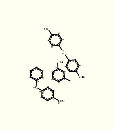 Cc1ccc(C=O)cc1.Cc1cccc(C=O)c1.O=Cc1ccc(Cl)cc1.O=Cc1ccc(Oc2ccccc2)cc1